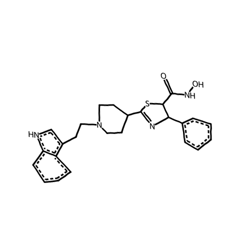 O=C(NO)C1SC(C2CCN(CCc3c[nH]c4ccccc34)CC2)=NC1c1ccccc1